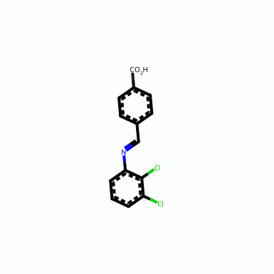 O=C(O)c1ccc(C=Nc2cccc(Cl)c2Cl)cc1